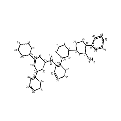 NC1CC(C2CCC[C@H](C3=C(NC4CC(C5CCCCC5)=CC(C5=CC=CCC5)C4)C=CCC3)C2)CCC1c1ccccc1